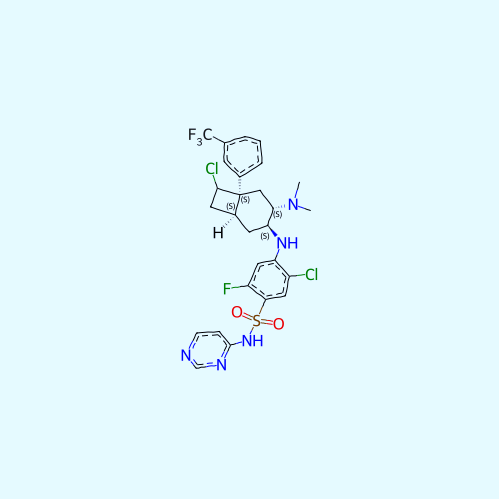 CN(C)[C@H]1C[C@]2(c3cccc(C(F)(F)F)c3)C(Cl)C[C@@H]2C[C@@H]1Nc1cc(F)c(S(=O)(=O)Nc2ccncn2)cc1Cl